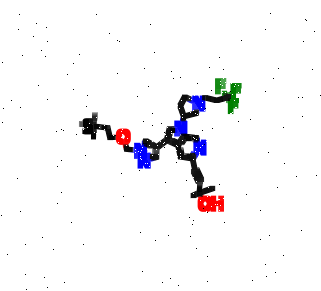 CC(C)(O)C#Cc1cc2c(-c3cnn(COCC[Si](C)(C)C)c3)cn(C3CCN(CCC(F)(F)F)C3)c2cn1